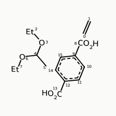 C=C.CCOC(C)OCC.O=C(O)c1ccc(C(=O)O)cc1